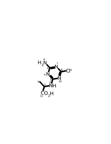 CC(Nc1nc(N)nc(Cl)n1)C(=O)O